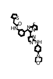 O=C(Cc1cccs1)Nc1cccc(-c2nc3sccn3c2-c2ccnc(Nc3ccc(N4CCOCC4)cc3)n2)c1